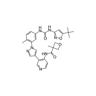 Cc1ccc(NC(=O)Nc2cc(C(C)(C)C)on2)cc1-n1cc(-c2cnccc2NC(=O)C2(C)COC2)cn1